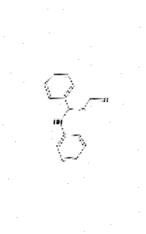 O=COC(Nc1ccccc1)c1ccccc1